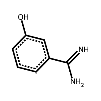 N=C(N)c1[c]ccc(O)c1